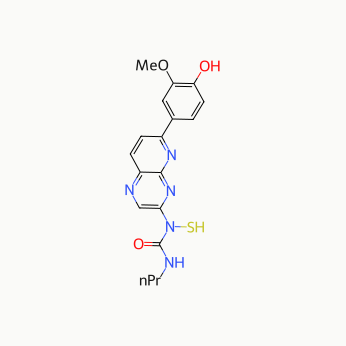 CCCNC(=O)N(S)c1cnc2ccc(-c3ccc(O)c(OC)c3)nc2n1